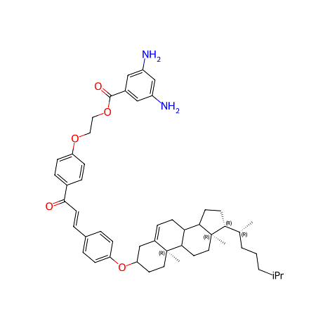 CC(C)CCC[C@@H](C)[C@H]1CCC2C3CC=C4CC(Oc5ccc(C=CC(=O)c6ccc(OCCOC(=O)c7cc(N)cc(N)c7)cc6)cc5)CC[C@]4(C)C3CC[C@@]21C